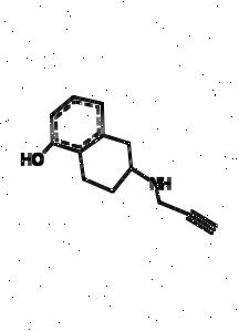 C#CCNC1CCc2c(O)cccc2C1